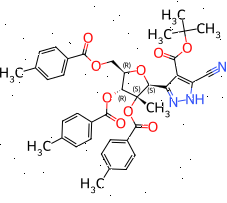 Cc1ccc(C(=O)OC[C@H]2O[C@@H](c3n[nH]c(C#N)c3C(=O)OC(C)(C)C)[C@](C)(OC(=O)c3ccc(C)cc3)[C@@H]2OC(=O)c2ccc(C)cc2)cc1